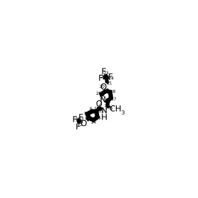 C[C@@H](NC(=O)c1ccc(OC(F)(F)F)cc1)c1ccc(OCC(F)(F)F)cn1